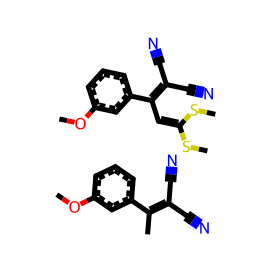 COc1cccc(C(C)=C(C#N)C#N)c1.COc1cccc(C(C=C(SC)SC)=C(C#N)C#N)c1